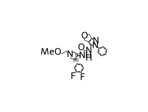 COCCN1C[C@@H](NC(=O)Nc2c3c(nn2-c2ccccc2)COC3)[C@H](c2ccc(F)c(F)c2)C1